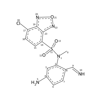 CN(c1cc(N)ccc1C=N)S(=O)(=O)c1ccc(Cl)c2nonc12